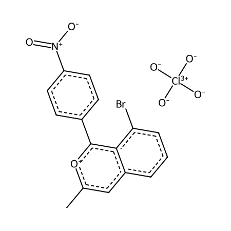 Cc1cc2cccc(Br)c2c(-c2ccc([N+](=O)[O-])cc2)[o+]1.[O-][Cl+3]([O-])([O-])[O-]